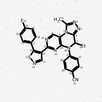 CCC1c2nnc(C)n2-c2cnc(-c3cnsc3-c3ccc(F)cc3)nc2N1c1ccc(C#N)cc1